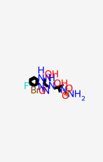 NS(=O)(=O)N1CC(O)(CNc2nonc2/C(=N/O)Nc2ccc(F)c(Br)c2)C1